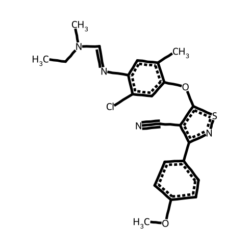 CCN(C)C=Nc1cc(C)c(Oc2snc(-c3ccc(OC)cc3)c2C#N)cc1Cl